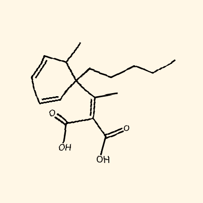 CCCCCC1(C(C)=C(C(=O)O)C(=O)O)C=CC=CC1C